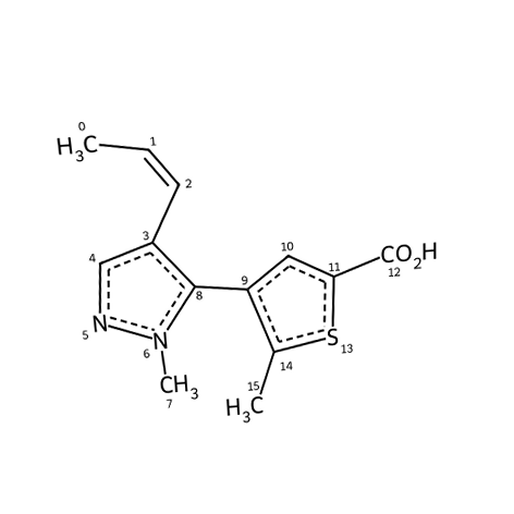 C/C=C\c1cnn(C)c1-c1cc(C(=O)O)sc1C